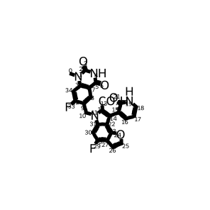 Cn1c(=O)[nH]c(=O)c2cc(Cn3c(C(=O)O)c(-c4ccc[nH]c4=O)c4c5occc5c(F)cc43)c(F)cc21